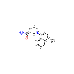 N#Cc1ccc(N2CCCC(C(N)=O)C2)c2ccccc12